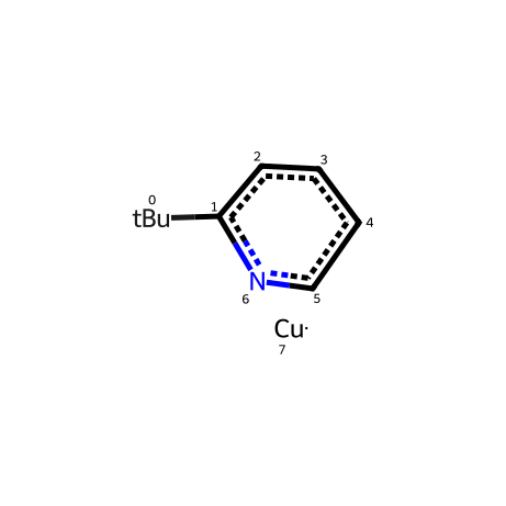 CC(C)(C)c1ccccn1.[Cu]